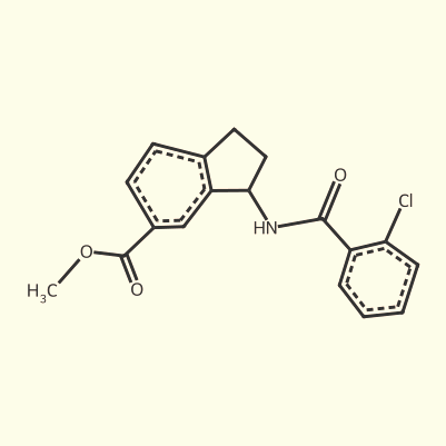 COC(=O)c1ccc2c(c1)C(NC(=O)c1ccccc1Cl)CC2